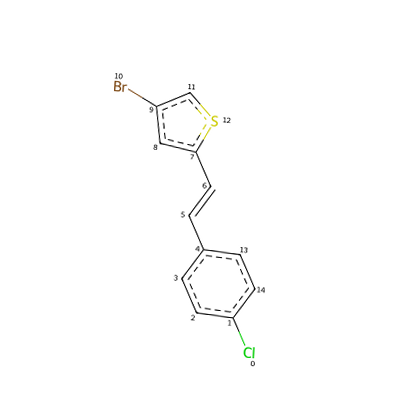 Clc1ccc(/C=C/c2cc(Br)cs2)cc1